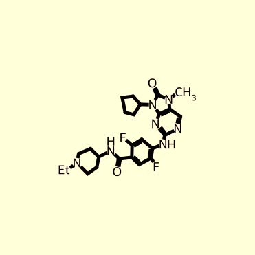 CCN1CCC(NC(=O)c2cc(F)c(Nc3ncc4c(n3)n(C3CCCC3)c(=O)n4C)cc2F)CC1